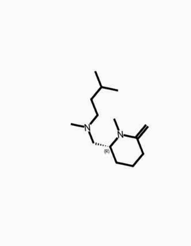 C=C1CCC[C@H](CN(C)CCC(C)C)N1C